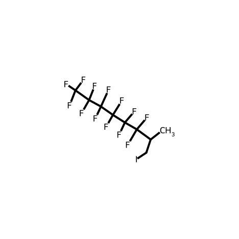 CC(CI)C(F)(F)C(F)(F)C(F)(F)C(F)(F)C(F)(F)C(F)(F)F